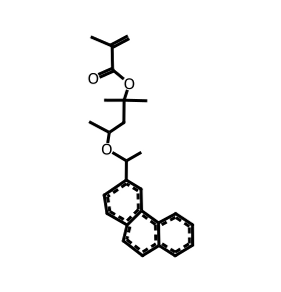 C=C(C)C(=O)OC(C)(C)CC(C)OC(C)c1ccc2ccc3ccccc3c2c1